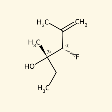 C=C(C)[C@H](F)[C@@](C)(O)CC